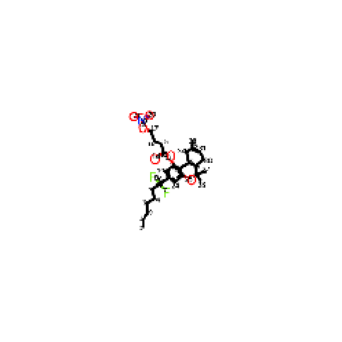 CCCCCCC(F)(F)c1cc(OC(=O)CCCO[N+](=O)[O-])c2c(c1)OC(C)(C)C1CC=C(C)CC21